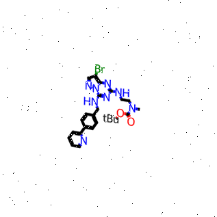 CN(CCNc1nc(NCc2ccc(-c3ccccn3)cc2)n2ncc(Br)c2n1)C(=O)OC(C)(C)C